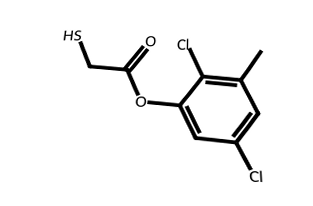 Cc1cc(Cl)cc(OC(=O)CS)c1Cl